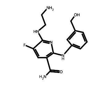 NCCNc1nc(Nc2cccc(CO)c2)c(C(N)=O)cc1F